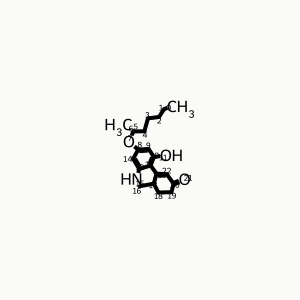 CCCCCC(C)Oc1cc(O)c2c(c1)NCC1CCC(=O)C=C21